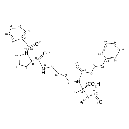 CC(C)C([PH2]=O)[C@@](C)(C(=O)O)N(CCCCNC(=O)[C@@H]1CCCN1C(=O)c1ccccc1)C(=O)CCCc1ccccc1